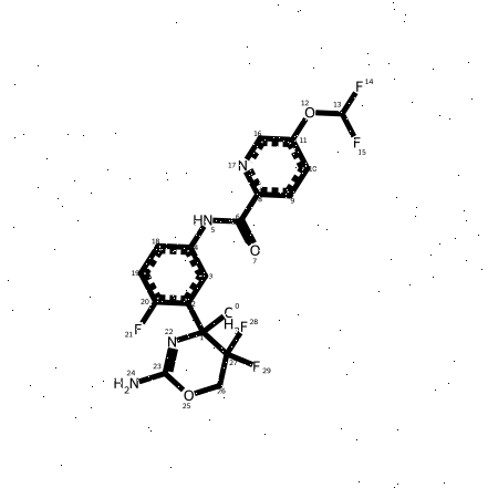 CC1(c2cc(NC(=O)c3ccc(OC(F)F)cn3)ccc2F)N=C(N)OCC1(F)F